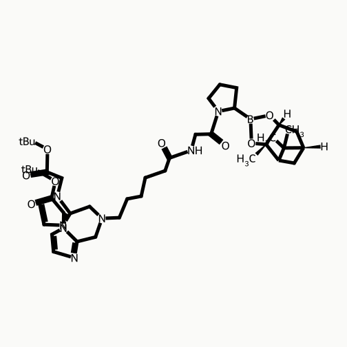 CC(C)(C)OC(=O)Cn1ccnc1CN(CCCCCC(=O)NCC(=O)N1CCCC1B1O[C@@H]2C[C@@H]3CC(C3(C)C)[C@]2(C)O1)Cc1nccn1CC(=O)OC(C)(C)C